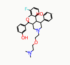 Cc1c(F)cccc1C1C(C(=O)c2cccc(O)c2)CN(CCOCCN(C)C)CC1c1cc[c]cc1O